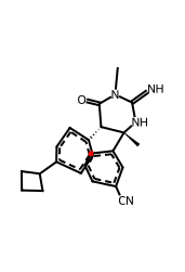 CN1C(=N)N[C@](C)(c2cccc(C#N)c2)[C@H](c2ccc(C3CCC3)cc2)C1=O